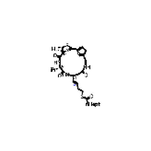 CCCCCCCC(=O)SCC/C=C/[C@@H]1CC(=O)NCC2=NC(=CC2)C2=N[C@@](C)(CS2)C(=O)N[C@@H](C(C)C)C(=O)N1